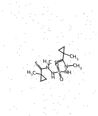 CN(NS(=O)(=O)NN(C)C(=S)C1(C)CC1)C(=S)C1(C)CC1